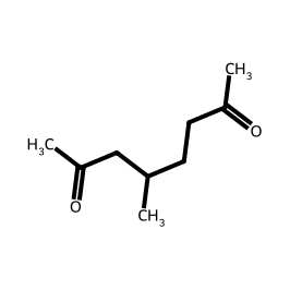 CC(=O)CCC(C)CC(C)=O